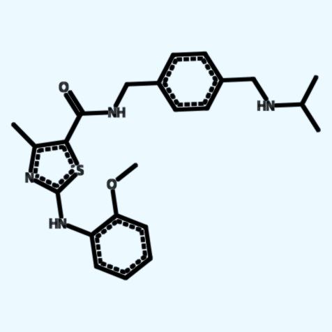 COc1ccccc1Nc1nc(C)c(C(=O)NCc2ccc(CNC(C)C)cc2)s1